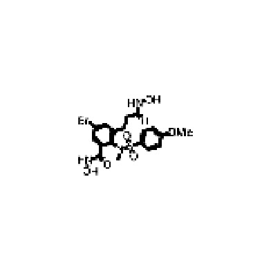 COc1ccc(S(=O)(=O)N(C)c2c(CCC(=O)NO)cc(Br)cc2C(=O)NO)cc1